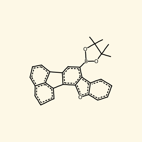 CC1(C)OB(c2cc3c(c4oc5ccccc5c24)-c2cccc4cccc-3c24)OC1(C)C